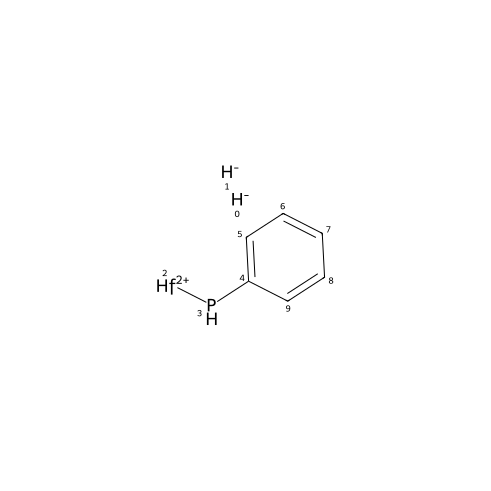 [H-].[H-].[Hf+2][PH]c1ccccc1